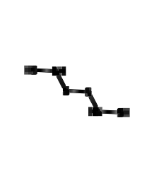 SNSSNS